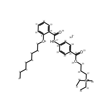 CCCCCCCCOc1ccccc1C(=O)Nc1ccc(C(=O)OCCC[N+](C)(CC)CC)cc1.[I-]